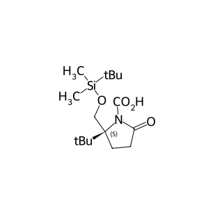 CC(C)(C)[C@]1(CO[Si](C)(C)C(C)(C)C)CCC(=O)N1C(=O)O